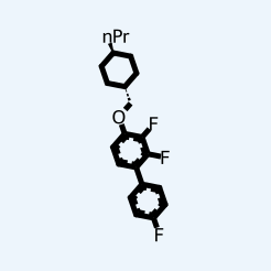 CCC[C@H]1CC[C@H](COc2ccc(-c3ccc(F)cc3)c(F)c2F)CC1